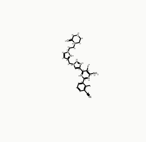 Cc1c(C#N)cccc1-c1nc(N)c(F)c(-c2cn(Cc3ccn(CCN4CCOCC4=O)n3)nn2)n1